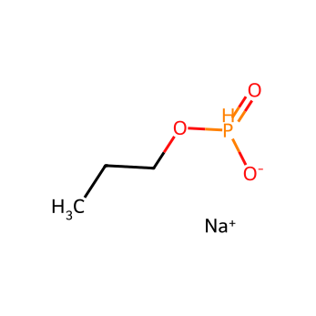 CCCO[PH](=O)[O-].[Na+]